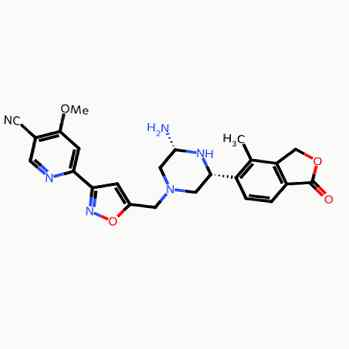 COc1cc(-c2cc(CN3C[C@@H](c4ccc5c(c4C)COC5=O)N[C@@H](N)C3)on2)ncc1C#N